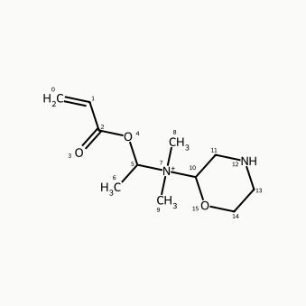 C=CC(=O)OC(C)[N+](C)(C)C1CNCCO1